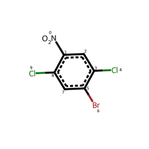 O=[N+]([O-])c1cc(Cl)c(Br)cc1Cl